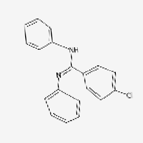 Clc1ccc(/C(=N\c2ccccc2)Nc2ccccc2)cc1